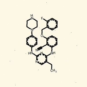 CCc1cnc(Nc2ccc(N3CCNCC3)cc2)nc1Nc1cccc(OCc2ccccc2F)c1C#N